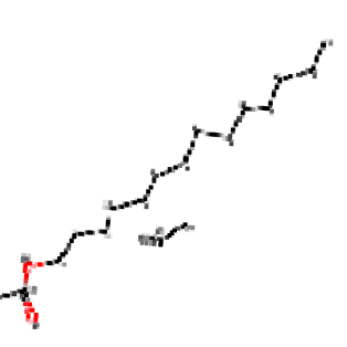 CCCCCCCCCCCCCCOC(=O)CS.[CH3][SnH]